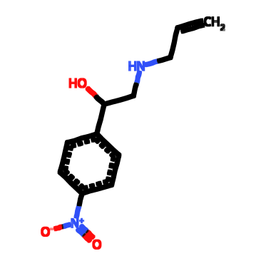 C=CCNCC(O)c1ccc([N+](=O)[O-])cc1